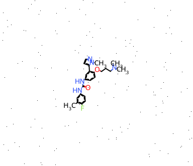 Cc1cc(NC(=O)Nc2ccc(OCCCN(C)C)c(-c3ccnn3C)c2)ccc1F